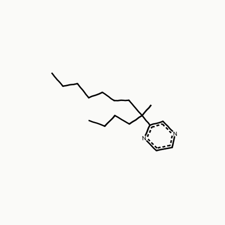 CCCCCCCC(C)(CCCC)c1cnccn1